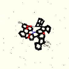 CC(C)(C)c1cc(-c2cccc3cccc(-c4ccccc4N(c4ccc5c(c4)C4(c6ccccc6-5)C5CC6CC7CC4C675)c4ccccc4-c4cccc5c4-c4ccccc4C5(C)C)c23)cc(C(C)(C)C)c1